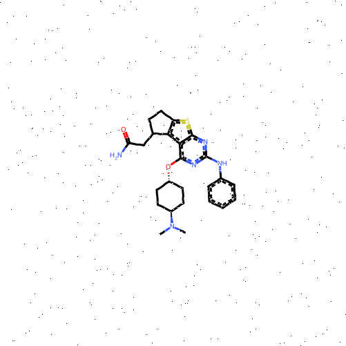 CN(C)[C@H]1CC[C@H](Oc2nc(Nc3ccccc3)nc3sc4c(c23)C(CC(N)=O)CC4)CC1